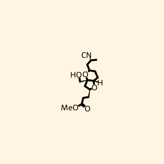 [C-]#[N+][C@H](C)CC1CC[C@@H]2O[C@@H](CCC(=O)OC)C[C@]2(CO)O1